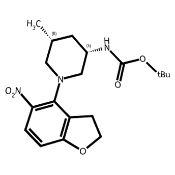 C[C@@H]1C[C@H](NC(=O)OC(C)(C)C)CN(c2c([N+](=O)[O-])ccc3c2CCO3)C1